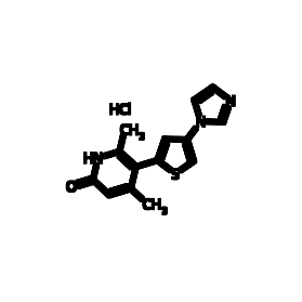 Cc1cc(=O)[nH]c(C)c1-c1cc(-n2ccnc2)cs1.Cl